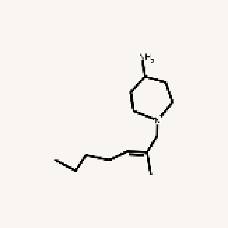 CCCCC=C(C)CN1CCC(N)CC1